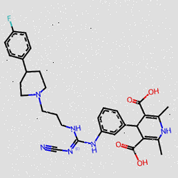 CC1=C(C(=O)O)C(c2cccc(N/C(=N/C#N)NCCCN3CCC(c4ccc(F)cc4)CC3)c2)C(C(=O)O)=C(C)N1